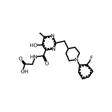 Cc1nc(CC2CCN(c3ccccc3F)CC2)nc(C(=O)NCC(=O)O)c1O